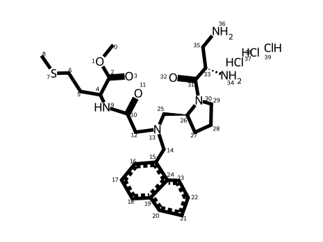 COC(=O)C(CCSC)NC(=O)CN(Cc1cccc2ccccc12)C[C@@H]1CCCN1C(=O)[C@@H](N)CN.Cl.Cl.Cl